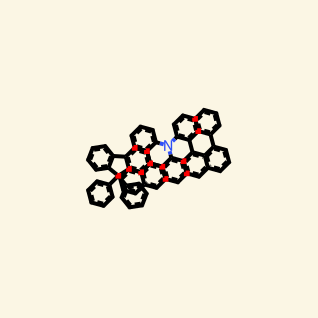 c1ccc(-c2cccc3cccc(-c4ccccc4N(c4ccccc4-c4ccc5c(c4)C(c4ccccc4)(c4ccccc4)c4ccccc4-5)c4ccccc4-c4cccc5ccccc45)c23)cc1